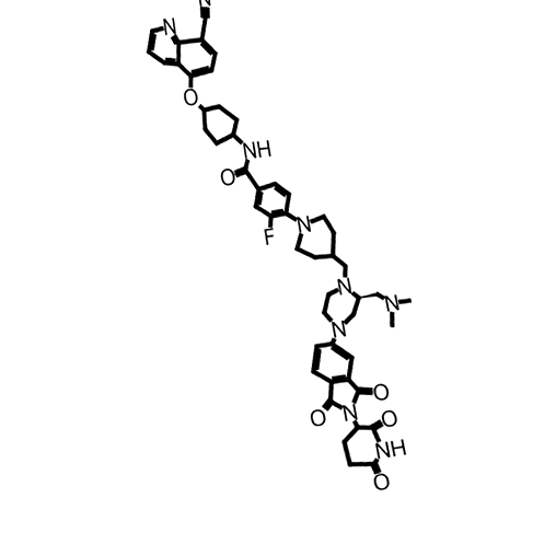 CN(C)C[C@H]1CN(c2ccc3c(c2)C(=O)N(C2CCC(=O)NC2=O)C3=O)CCN1CC1CCN(c2ccc(C(=O)NC3CCC(Oc4ccc(C#N)c5ncccc45)CC3)cc2F)CC1